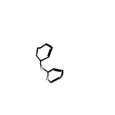 C1=COC(OC2C=CCCC2)C=C1